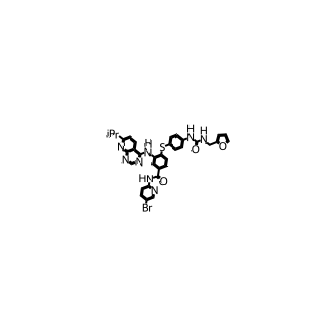 CC(C)c1ccc2c(Nc3cc(C(=O)Nc4ccc(Br)cn4)ccc3Sc3ccc(NC(=O)NCc4ccco4)cc3)ncnc2n1